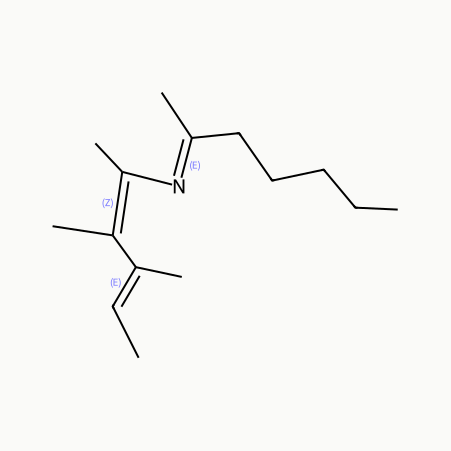 C/C=C(C)/C(C)=C(C)\N=C(/C)CCCCC